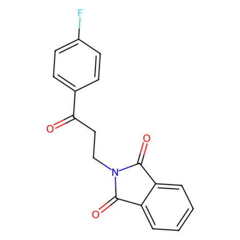 O=C(CCN1C(=O)c2ccccc2C1=O)c1ccc(F)cc1